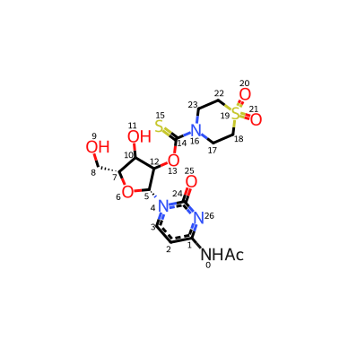 CC(=O)Nc1ccn([C@@H]2O[C@H](CO)C(O)C2OC(=S)N2CCS(=O)(=O)CC2)c(=O)n1